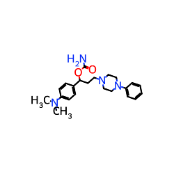 CN(C)c1ccc(C(CCN2CCN(c3ccccc3)CC2)OC(N)=O)cc1